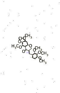 COc1ccc(/C=C2\COc3cc(OC)c(OC)c(OC)c3C2=O)c(OC)c1OC